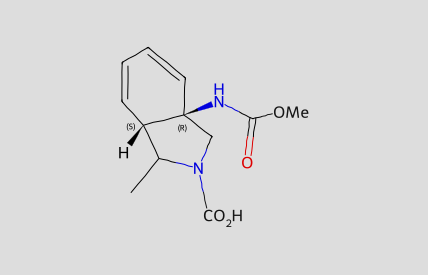 COC(=O)N[C@]12C=CC=C[C@H]1C(C)N(C(=O)O)C2